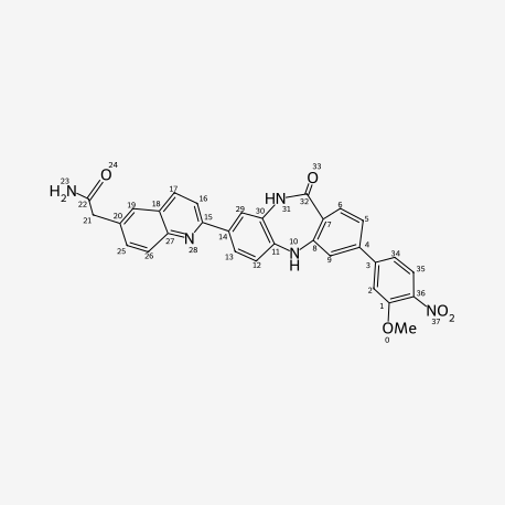 COc1cc(-c2ccc3c(c2)Nc2ccc(-c4ccc5cc(CC(N)=O)ccc5n4)cc2NC3=O)ccc1[N+](=O)[O-]